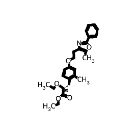 CCOC(=O)[C@@H](Cc1ccc(OCCc2nc(-c3ccccc3)oc2C)cc1C)OCC